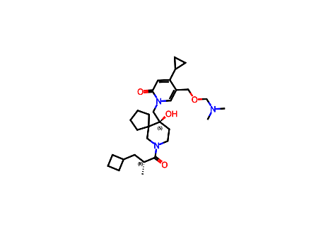 C[C@H](CC1CCC1)C(=O)N1CC[C@@](O)(Cn2cc(COCN(C)C)c(C3CC3)cc2=O)C2(CCCC2)C1